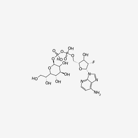 Nc1ccnc2c1ncn2[C@@H]1O[C@H](COP(=O)(O)OP(=O)(O)O[C@@H]2OC([C@H](O)CO)[C@@H](O)[C@H](O)C2O)C(O)[C@@H]1F